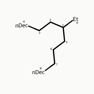 [CH2]CC(CCCCCCCCCCCC)CCCCCCCCCCCCC